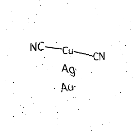 N#[C][Cu][C]#N.[Ag].[Au]